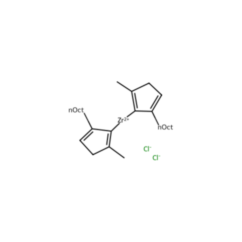 CCCCCCCCC1=CCC(C)=[C]1[Zr+2][C]1=C(C)CC=C1CCCCCCCC.[Cl-].[Cl-]